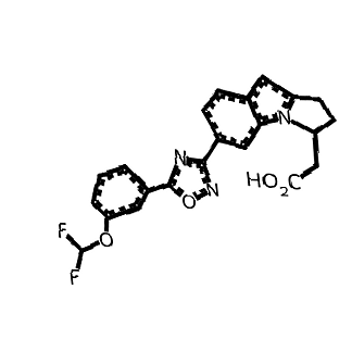 O=C(O)CC1CCc2cc3ccc(-c4noc(-c5cccc(OC(F)F)c5)n4)cc3n21